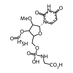 COC1C(O[PH](=O)S)C(COP(=O)(O)NCC(=O)O)O[C@H]1n1ccc(=O)[nH]c1=O